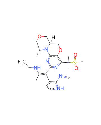 C=Nc1[nH]ccc1/C(=C(\C)NCC(F)(F)F)c1nc2c(c(C(C)(C)S(C)(=O)=O)n1)OC[C@@H]1COC[C@@H](C)N21